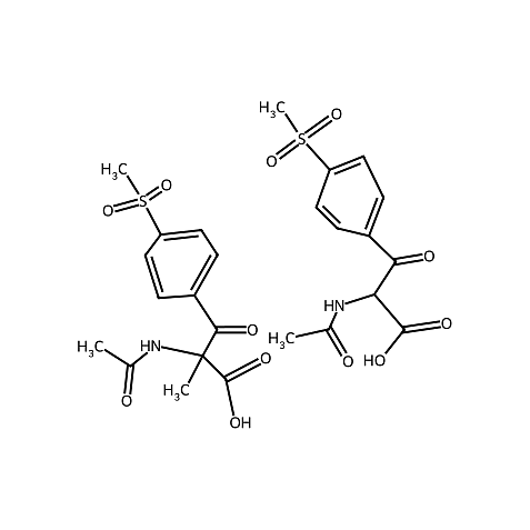 CC(=O)NC(C(=O)O)C(=O)c1ccc(S(C)(=O)=O)cc1.CC(=O)NC(C)(C(=O)O)C(=O)c1ccc(S(C)(=O)=O)cc1